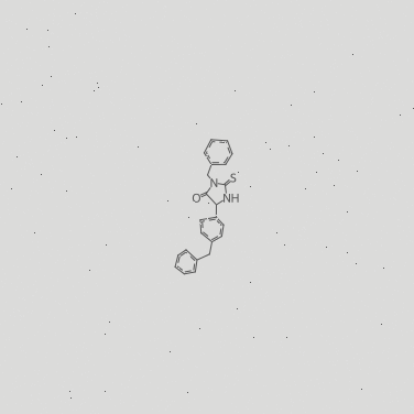 O=C1C(c2ccc(Cc3ccccc3)cc2)NC(=S)N1Cc1ccccc1